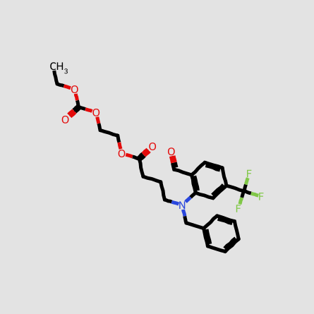 CCOC(=O)OCCOC(=O)CCCN(Cc1ccccc1)c1cc(C(F)(F)F)ccc1C=O